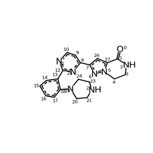 O=C1NCCn2nc(-c3ccnc(-c4ccccc4N4CCNCC4)n3)cc21